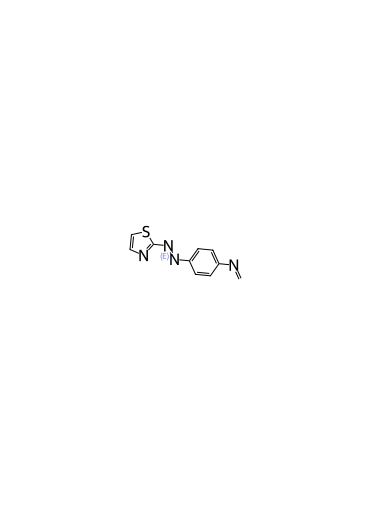 C=Nc1ccc(/N=N/c2nccs2)cc1